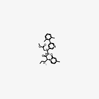 CC[C@@H](C)C(C(=O)N[C@@H](CC(=O)OC)c1cncc(-c2c(C)cccc2C)c1)n1ccc(C)cc1=O